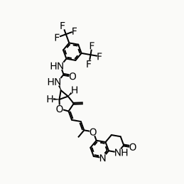 C=C1/C(=C\C=C(/C)Oc2ccnc3c2CCC(=O)N3)O[C@@H]2[C@@H](NC(=O)Nc3cc(C(F)(F)F)cc(C(F)(F)F)c3)[C@H]12